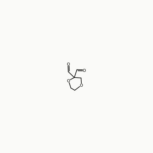 O=CC1(C=O)COCCO1